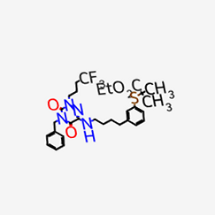 CCOC(=O)C(C)(C)Sc1cccc(CCCCNc2nn(CCCC(F)(F)F)c(=O)n(Cc3ccccc3)c2=O)c1